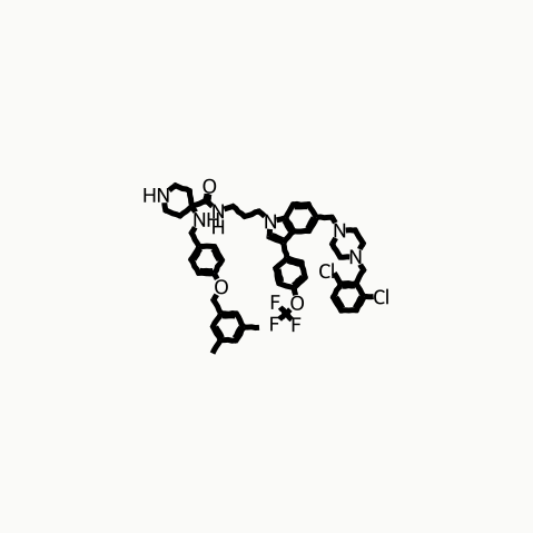 Cc1cc(C)cc(COc2ccc(CNC3(C(=O)NCCCn4cc(-c5ccc(OC(F)(F)F)cc5)c5cc(CN6CCN(Cc7c(Cl)cccc7Cl)CC6)ccc54)CCNCC3)cc2)c1